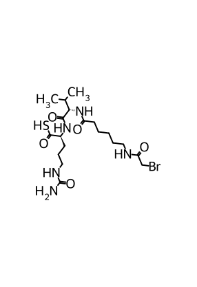 CC(C)[C@H](NC(=O)CCCCCNC(=O)CBr)C(=O)N[C@@H](CCCNC(N)=O)C(=O)S